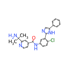 CC(C)(N)c1cc(C(=O)Nc2ccc(Cl)c(-c3ncc(-c4ccccc4)[nH]3)c2)ccn1